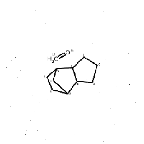 C1CC2C3CCC(C3)C2C1.C=O